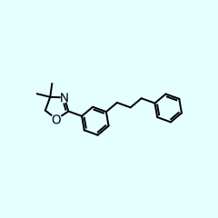 CC1(C)COC(c2cccc(CCCc3ccccc3)c2)=N1